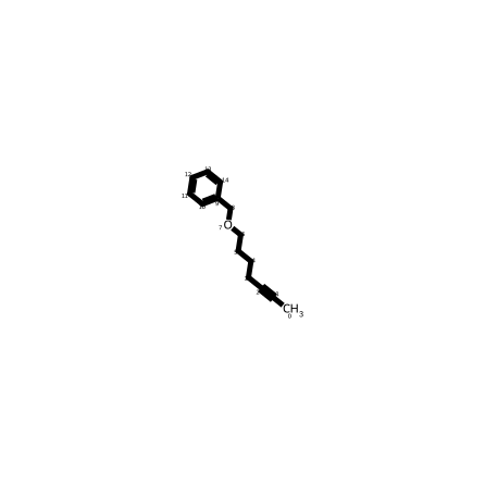 CC#CCCCCOCc1ccccc1